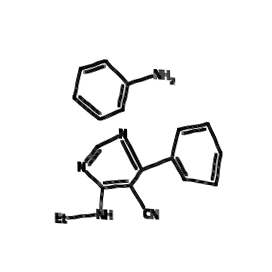 CCNc1ncnc(-c2ccccc2)c1C#N.Nc1ccccc1